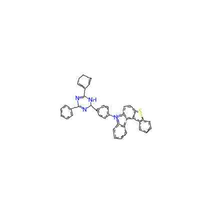 C1=CC(C2=NC(c3ccccc3)=NC(c3ccc(-n4c5ccccc5c5c6c(ccc54)sc4ccccc46)cc3)N2)=CCC1